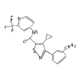 Cc1cccc(-c2nsc(C(=O)Nc3ccnc(C(F)(F)F)c3)c2C2CC2)c1